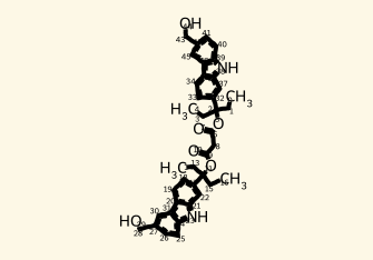 CCC(CC)(OC(=O)CC(=O)OC(CC)(CC)c1ccc2c(c1)[nH]c1ccc(CO)cc12)c1ccc2c(c1)[nH]c1ccc(CO)cc12